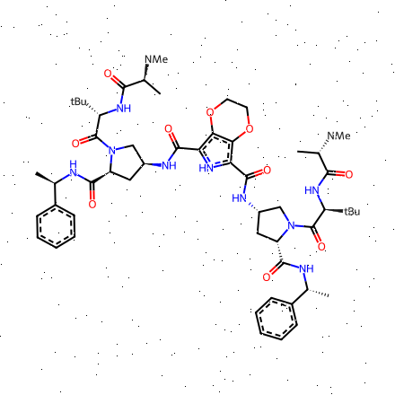 CN[C@@H](C)C(=O)N[C@H](C(=O)N1C[C@@H](NC(=O)c2[nH]c(C(=O)N[C@H]3C[C@@H](C(=O)N[C@H](C)c4ccccc4)N(C(=O)[C@@H](NC(=O)[C@H](C)NC)C(C)(C)C)C3)c3c2OCCO3)C[C@H]1C(=O)N[C@H](C)c1ccccc1)C(C)(C)C